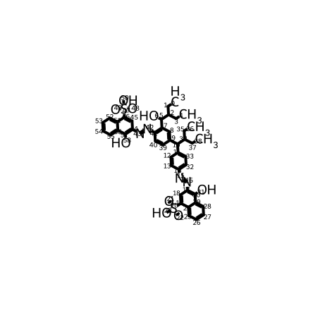 CCC(CC)C(O)c1cc(C(c2ccc(/N=N/c3cc(S(=O)(=O)O)c4ccccc4c3O)cc2)C(CC)CC)ccc1/N=N/c1cc(S(=O)(=O)O)c2ccccc2c1O